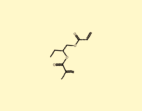 C=CC(=O)OCC(CC)OC(=O)C(=C)C